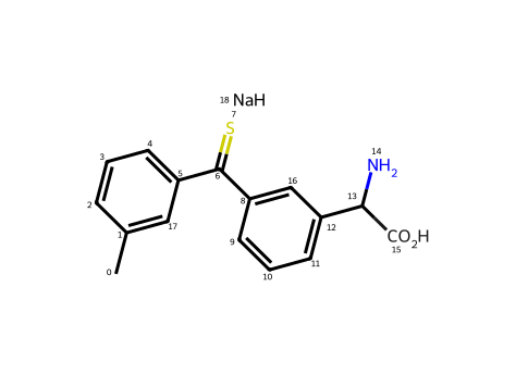 Cc1cccc(C(=S)c2cccc(C(N)C(=O)O)c2)c1.[NaH]